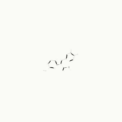 CNC(=O)c1c(-c2ccc(Cl)c(F)c2)oc2ccc(OC)cc12